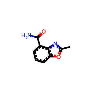 Cc1nc2c(C(N)=O)cccc2o1